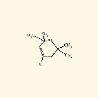 CCC1=CC(C)(C)OC(C)(C)C1